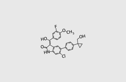 COc1ccc(/C(O)=C2/C(=O)Nc3cc(Cl)c(-c4ccc(C5(CO)CC5)cc4)cc32)cc1F